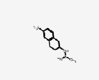 CB(O)NC1CCc2cc(N)ccc2C1